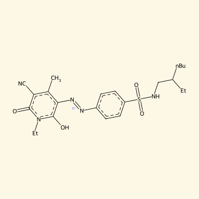 CCCCC(CC)CNS(=O)(=O)c1ccc(/N=N/c2c(C)c(C#N)c(=O)n(CC)c2O)cc1